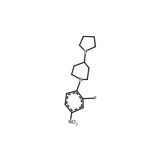 O=[N+]([O-])c1ccc(N2CCC(N3CCCC3)CC2)c(F)c1